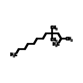 CCCCCCCCC(C)(C)C[C](C)C